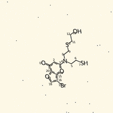 O=c1cc(N(CCS)CCSCCO)oc2c(Br)coc12